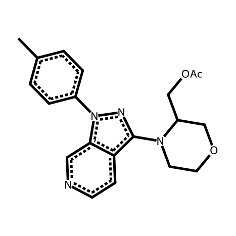 CC(=O)OCC1COCCN1c1nn(-c2ccc(C)cc2)c2cnccc12